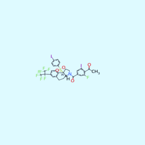 CC(=O)c1c(F)cc(C(=O)N2CC[C@@]3(S(=O)(=O)c4ccc(I)cc4)c4ccc(C(F)(C(F)(F)F)C(F)(F)F)cc4CC[C@@H]23)cc1I